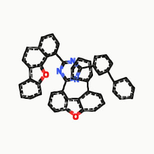 c1ccc(-c2cccc(-c3nc(-c4cccc5ccc6c7ccccc7oc6c45)nc(-c4cccc5oc6cccc(-c7ccccc7)c6c45)n3)c2)cc1